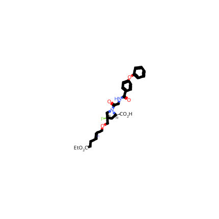 CCOC(=O)CC/C=C/COC[C@@]1(F)C[C@@H](C(=O)O)N(C(=O)CNC(=O)c2ccc(Oc3ccccc3)cc2)C1